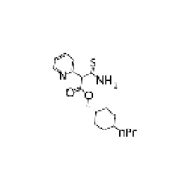 CCC[C@H]1CC[C@H](COC(=O)C(C(N)=S)c2ccccn2)CC1